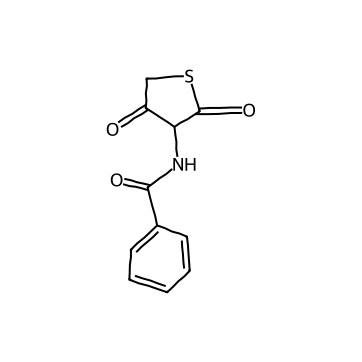 O=C(NC1C(=O)CSC1=O)c1ccccc1